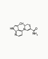 Cc1c[nH]c2nccc(N3C=C(C(N)=O)SCC3)c12